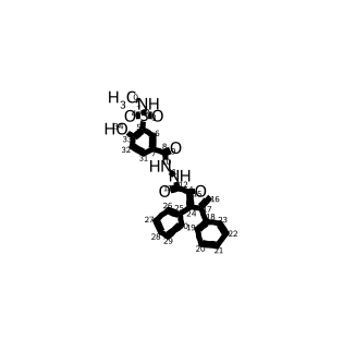 CNS(=O)(=O)c1cc(C(=O)NNC(=O)c2occ(-c3ccccc3)c2-c2ccccc2)ccc1O